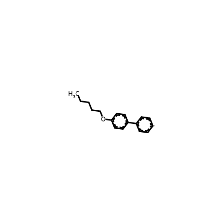 CCCCCOc1ccc(-c2cc[c]cc2)cc1